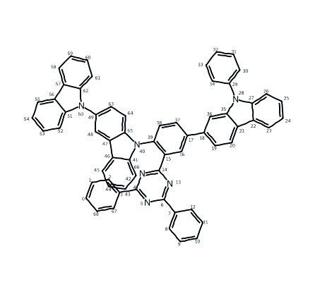 c1ccc(-c2nc(-c3ccccc3)nc(-c3cc(-c4ccc5c6ccccc6n(-c6ccccc6)c5c4)ccc3-n3c4ccccc4c4cc(-n5c6ccccc6c6ccccc65)ccc43)n2)cc1